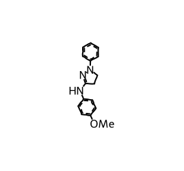 COc1ccc(NC2=NN(c3ccccc3)CC2)cc1